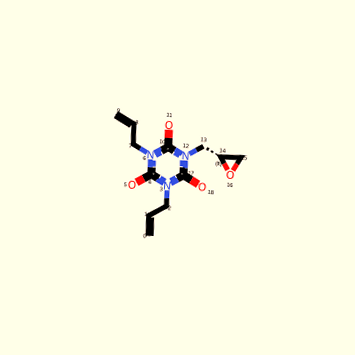 C=CCn1c(=O)n(CC=C)c(=O)n(C[C@@H]2CO2)c1=O